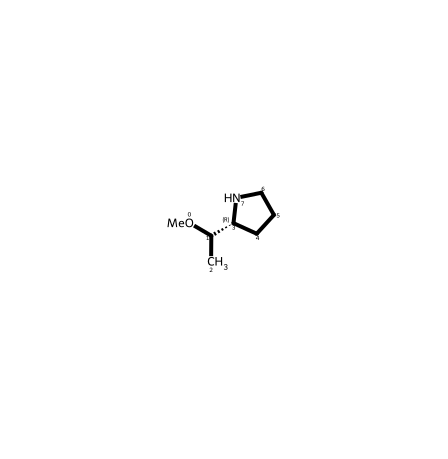 COC(C)[C@H]1CCCN1